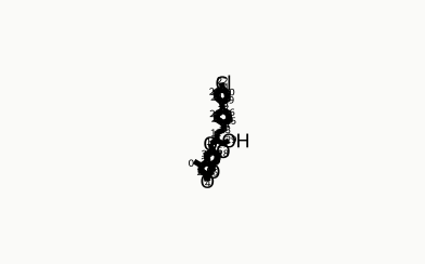 Cc1cc(=O)oc2ccc(OC(CCc3ccc(-c4ccc(Cl)cc4)cc3)C(=O)O)cc12